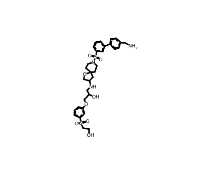 NCc1ccc(-c2cccc(S(=O)(=O)N3CCC4(CC3)CC(NCC(O)COc3cccc(S(=O)(=O)CCO)c3)CO4)c2)cc1